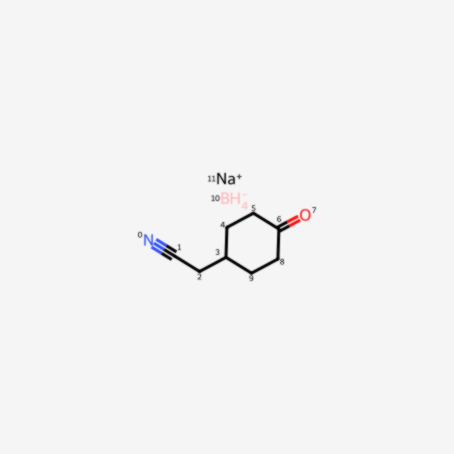 N#CCC1CCC(=O)CC1.[BH4-].[Na+]